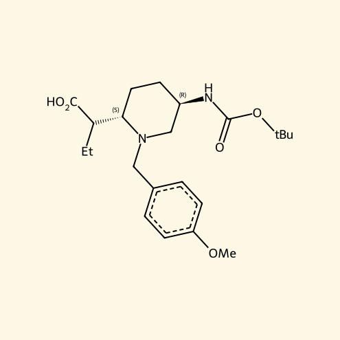 CCC(C(=O)O)[C@@H]1CC[C@@H](NC(=O)OC(C)(C)C)CN1Cc1ccc(OC)cc1